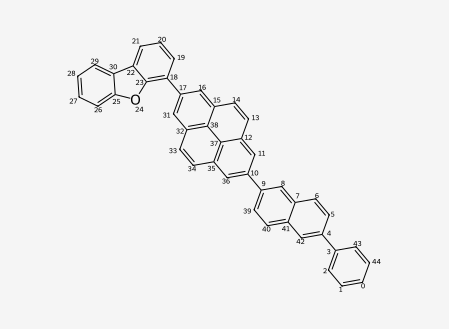 c1ccc(-c2ccc3cc(-c4cc5ccc6cc(-c7cccc8c7oc7ccccc78)cc7ccc(c4)c5c67)ccc3c2)cc1